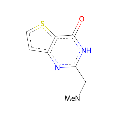 CNCc1nc2ccsc2c(=O)[nH]1